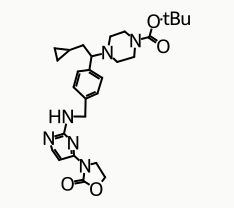 CC(C)(C)OC(=O)N1CCN(C(CC2CC2)c2ccc(CNc3nccc(N4CCOC4=O)n3)cc2)CC1